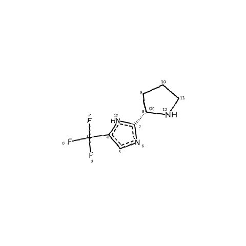 FC(F)(F)c1cnc([C@@H]2CCCN2)[nH]1